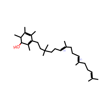 CC(C)=CCC/C(C)=C/CC/C(C)=C/CCC(C)(C)CCC1=C(C)C(O)C(C)C(C)=C1C